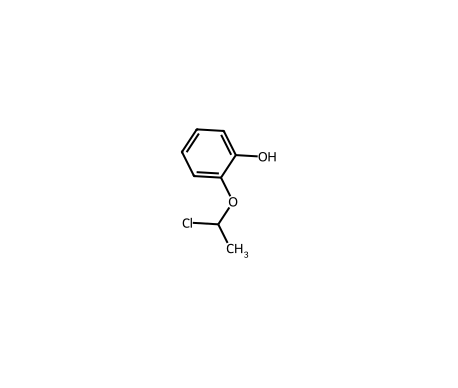 CC(Cl)Oc1ccccc1O